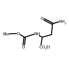 CCOC(=O)C(CC(N)=O)NC(=O)OC(C)(C)C